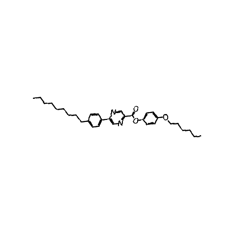 CCCCCCCCCc1ccc(-c2cnc(C(=O)Oc3ccc(OCCCCCC)cc3)cn2)cc1